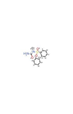 CCN(C(N)=O)S(=O)(=O)c1ccccc1-c1ccccc1